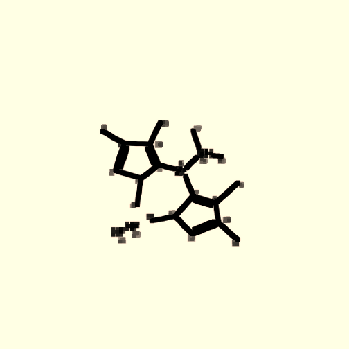 CC1=CC(C)[C]([Zr]([C]2=C(C)C(C)=CC2C)[SiH](C)C)=C1C.F.F